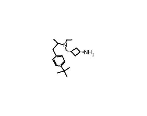 CCN(C[C@H]1C[C@H](N)C1)C(C)Cc1ccc(C(C)(C)C)cc1